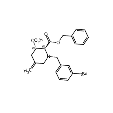 C=C1C[C@H](C(=O)O)[C@@H](C(=O)OCc2ccccc2)N(Cc2cccc(C(C)(C)C)c2)C1